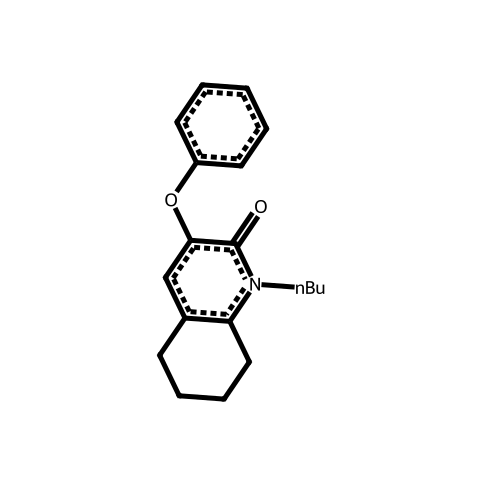 CCCCn1c2c(cc(Oc3ccccc3)c1=O)CCCC2